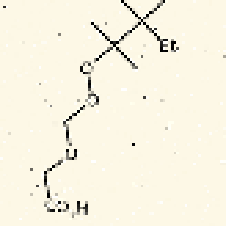 CCC(C)(C)C(C)(C)OOCOCC(=O)O